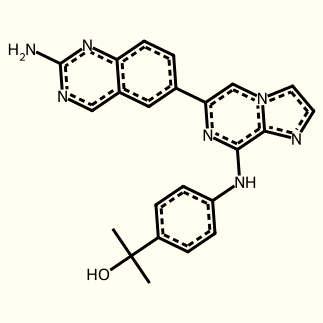 CC(C)(O)c1ccc(Nc2nc(-c3ccc4nc(N)ncc4c3)cn3ccnc23)cc1